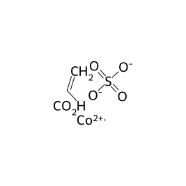 C=CC(=O)O.O=S(=O)([O-])[O-].[Co+2]